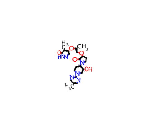 Cc1c(O[C@@H](C)COC2CCN([C@@H]3CCN(c4ncc(C(F)(F)F)cn4)C[C@H]3O)C2=O)cn[nH]c1=O